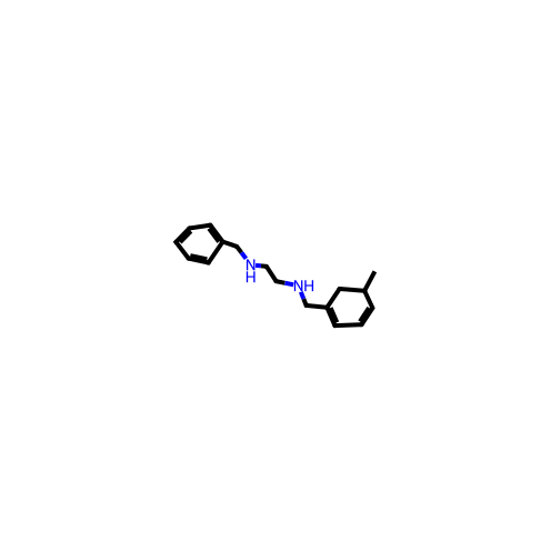 CC1C=CC=C(CNCCNCc2ccccc2)C1